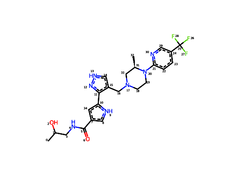 CC(O)CNC(=O)c1c[nH]c(-c2n[nH]cc2CN2CCN(c3ccc(C(F)(F)F)cn3)[C@H](C)C2)c1